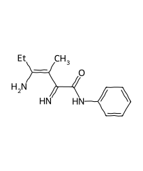 CC/C(N)=C(\C)C(=N)C(=O)Nc1ccccc1